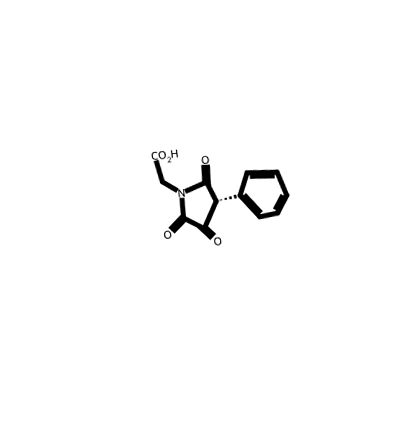 O=C(O)CN1C(=O)C(=O)[C@@H](c2ccccc2)C1=O